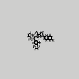 O=C(N[C@H](CN1CCCC1)[C@H](O)c1cc(F)c2c(c1)OCCO2)C1CCN(c2ccc3cc(Cl)ccc3n2)C1